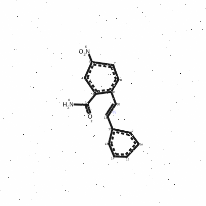 NC(=O)c1cc([N+](=O)[O-])ccc1/C=C/c1ccccc1